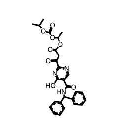 CC(C)OC(=O)OC(C)OC(=O)CC(=O)c1ncc(C(=O)NC(c2ccccc2)c2ccccc2)c(O)n1